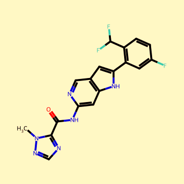 Cn1ncnc1C(=O)Nc1cc2[nH]c(-c3cc(F)ccc3C(F)F)cc2cn1